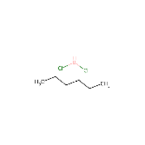 CCCCCC.ClBCl